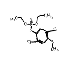 CCOP(=S)(OCC)Sc1cc(Cl)c(SC)cc1Cl